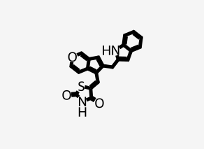 O=C1NC(=O)C(=Cc2c(Cc3cc4ccccc4[nH]3)cc3coccc2-3)S1